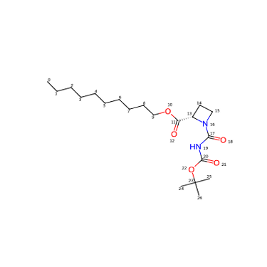 CCCCCCCCCCOC(=O)[C@@H]1CCN1C(=O)NC(=O)OC(C)(C)C